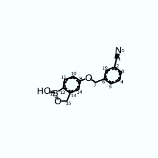 N#Cc1cccc(COc2ccc3c(c2)COB3O)c1